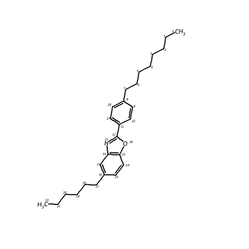 CCCCCCCCc1ccc(-c2nc3cc(CCCCCC)ccc3o2)cc1